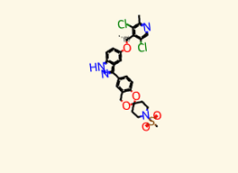 Cc1ncc(Cl)c([C@@H](C)Oc2ccc3[nH]nc(-c4ccc5c(c4)COC4(CCN(S(C)(=O)=O)CC4)O5)c3c2)c1Cl